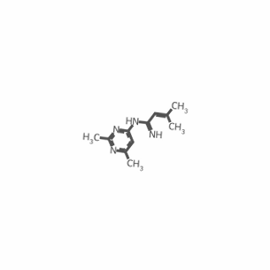 CC(C)=CC(=N)Nc1cc(C)nc(C)n1